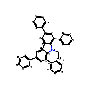 CCn1c2c(-c3ccccc3)cc(-c3ccccc3)cc2c2cc(-c3ccccc3)cc(-c3ccccc3)c21